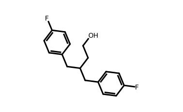 OCCC(Cc1ccc(F)cc1)Cc1ccc(F)cc1